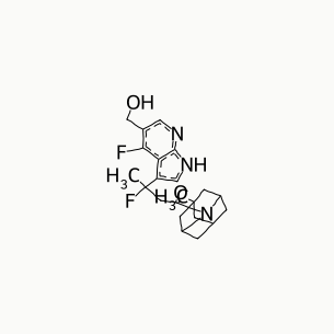 CC12CC3CC(C1)N(C(=O)CC(C)(F)c1c[nH]c4ncc(CO)c(F)c14)C(C3)C2